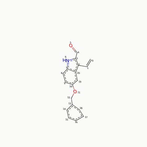 C=Cc1c(C=O)[nH]c2ccc(OCc3ccccc3)cc12